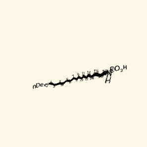 CCCCCCCCCCCCCCCCCCCCCCCCCCCNC(=O)O